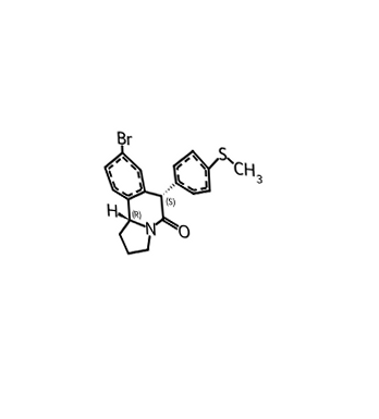 CSc1ccc([C@@H]2C(=O)N3CCC[C@@H]3c3ccc(Br)cc32)cc1